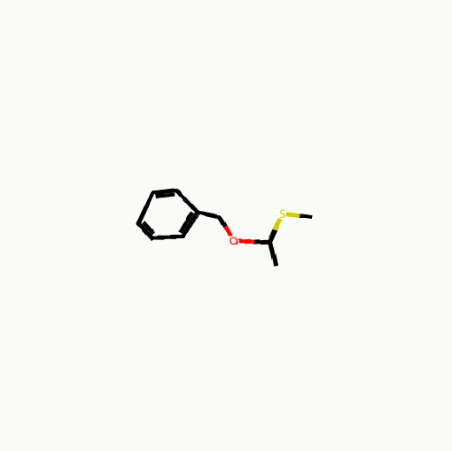 CSC(C)OCc1ccccc1